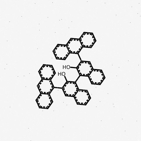 Oc1c(-c2c3ccccc3cc3ccccc23)cc2ccccc2c1-c1c(O)c(-c2c3ccccc3cc3ccccc23)cc2ccccc12